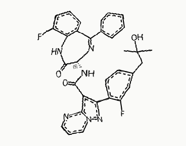 CC(C)(O)Cc1ccc(-c2nn3cccnc3c2C(=O)N[C@H]2N=C(c3ccccc3)c3cccc(F)c3NC2=O)c(F)c1